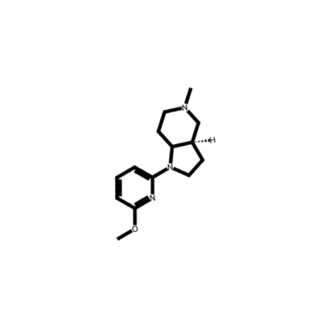 COc1cccc(N2CC[C@@H]3CN(C)CCC32)n1